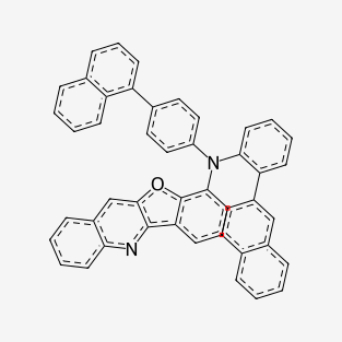 c1ccc(N(c2ccc(-c3cccc4ccccc34)cc2)c2cccc3c2oc2cc4ccccc4nc23)c(-c2ccc3ccccc3c2)c1